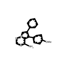 COc1ccc(-c2c(-c3ccccc3)cn3ncnc(N)c23)cc1